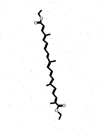 CCOC(=O)/C=C/C(C)=C/C=C/C=C/C(C)=C/C=C/C=C(C)/C=C/C=C(\C)C(=O)OCC